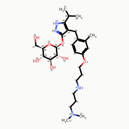 Cc1cc(OCCCNCCCN(C)C)ccc1Cc1c(O[C@@H]2O[C@H](CO)[C@@H](O)[C@H](O)[C@H]2O)n[nH]c1C(C)C